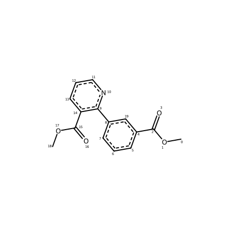 COC(=O)c1cccc(-c2ncccc2C(=O)OC)c1